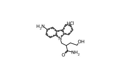 Cl.NC(=O)C(CCO)Cn1c2ccccc2c2cc(N)ccc21